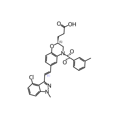 Cc1cccc(S(=O)(=O)N2C[C@H](CCC(=O)O)Oc3ccc(/C=C/c4nn(C)c5cccc(Cl)c45)cc32)c1